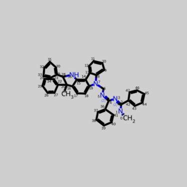 C=N/C(=N\C(=N/Cn1c2ccccc2c2c3c(ccc21)C(C)(c1ccccc1)C(c1ccccc1)N3)c1ccccc1)c1ccccc1